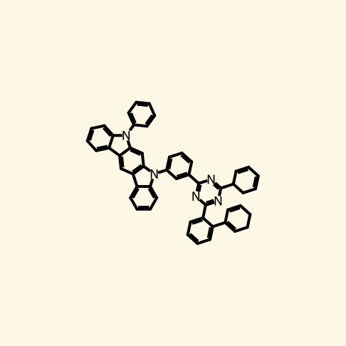 C1=CCC(c2nc(-c3cccc(-n4c5ccccc5c5cc6c7ccccc7n(-c7ccccc7)c6cc54)c3)nc(-c3ccccc3C3=CCCC=C3)n2)C=C1